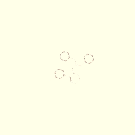 COc1cccc(C2=CCCCC2CN(Cc2ccccc2)Cc2ccccc2)c1